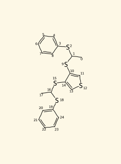 CC(Sc1ccccc1)Sc1cscc1SC(C)Sc1ccccc1